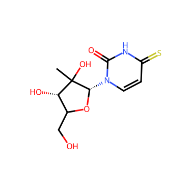 CC1(O)[C@@H](O)C(CO)O[C@H]1n1ccc(=S)[nH]c1=O